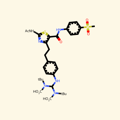 CC(=O)Nc1nc(CCc2ccc(NC(N(C(=O)O)C(C)(C)C)N(C(=O)O)C(C)(C)C)cc2)c(C(=O)Nc2ccc(S(C)(=O)=O)cc2)s1